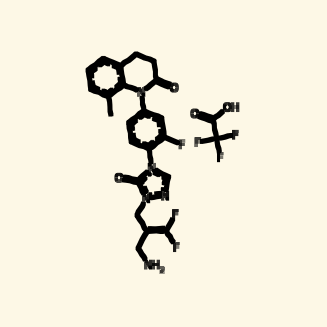 Cc1cccc2c1N(c1ccc(-n3cnn(CC(CN)=C(F)F)c3=O)c(F)c1)C(=O)CC2.O=C(O)C(F)(F)F